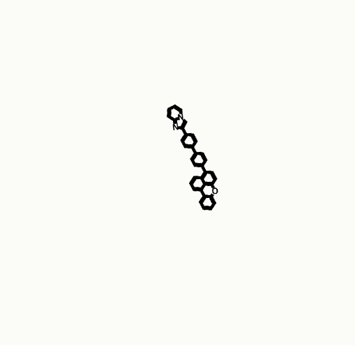 c1ccc2c(c1)Oc1ccc(-c3ccc(-c4ccc(-c5cn6ccccc6n5)cc4)cc3)c3cccc-2c13